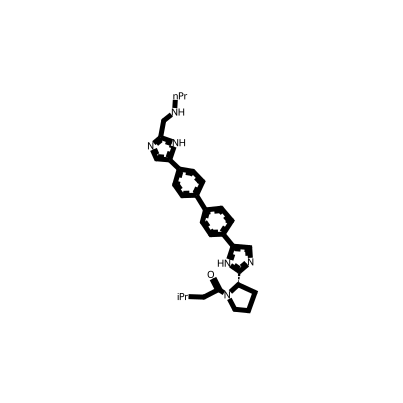 CCCNCc1ncc(-c2ccc(-c3ccc(-c4cnc([C@@H]5CCCN5C(=O)CC(C)C)[nH]4)cc3)cc2)[nH]1